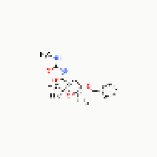 CNC(=O)NC(=O)[C@@]12C[C@H](OCc3ccccc3)[C@@](C)(C1)OC2(C)C